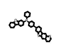 c1ccc(N(c2ccc(-c3ccc4c(c3)sc3cc5cccnc5cc34)cc2)c2ccc3c(c2)oc2ccccc23)cc1